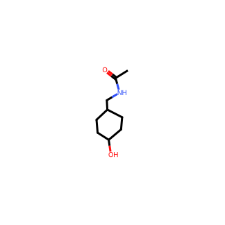 CC(=O)NCC1CCC(O)CC1